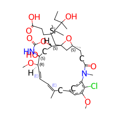 CCC(C)(O)[Si](C)(C)C(CCC(=O)O)CC12C[C@](C)(CCC(=O)N(C)c3cc(cc(OC)c3Cl)C/C(C)=C/C=C/[C@@H](OC)[C@@]3(O)C[C@@H]1OC(=O)N3)O2